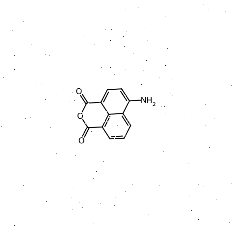 Nc1ccc2c3c(cccc13)C(=O)OC2=O